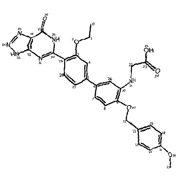 CCOc1cc(-c2ccc(OCc3ccc(OC)cc3)c(NCC(=O)O)c2)ccc1-c1nc2[nH]nnc2c(=O)[nH]1